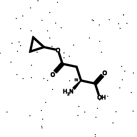 N[C@@H](CC(=O)OC1CC1)C(=O)O